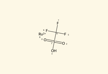 O=S(=O)(O)C(F)(F)F.[Ru+2]